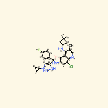 BC(Nc1cc(Cl)c2ncc(C#N)c(NC3CC(C)(C)C3)c2c1)(C1=CN(C2CC2)NN1)c1ccc(F)cc1